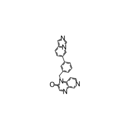 O=c1cnc2cnccc2n1Cc1cccc(-c2ccc3cncn3c2)c1